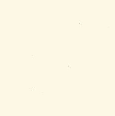 Cc1ccc(N2CCC(C(=O)N3CCOCC3)CC2)cc1NC(C)c1ccc(Cl)cc1Cl